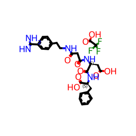 N=C(N)c1ccc(CCNC(=O)CC(=O)N[C@@H](CC(=O)O)C(=O)N[C@@H](Cc2ccccc2)C(=O)O)cc1.O=C(O)C(F)(F)F